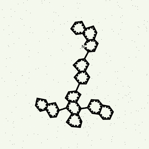 c1ccc2cc(-c3c4ccccc4c(-c4ccc5ccccc5c4)c4cc(-c5ccc6cc(-c7ccc8ccc9ccccc9c8n7)ccc6c5)ccc34)ccc2c1